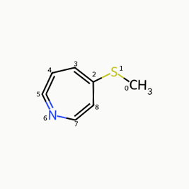 CSC1=CC=C=NC=C1